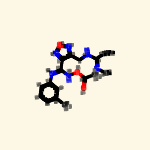 CNC(=NC#N)NCc1nonc1C(=Nc1cccc(C(F)(F)F)c1)NOC(=O)C(F)(F)F